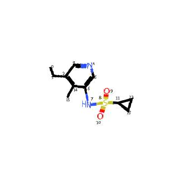 CCc1cncc(NS(=O)(=O)C2CC2)c1C